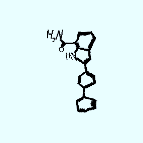 NC(=O)c1cccc2cc(-c3ccc(-c4ccccc4)cc3)[nH]c12